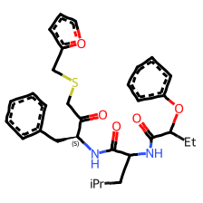 CCC(Oc1ccccc1)C(=O)NC(CC(C)C)C(=O)N[C@@H](Cc1ccccc1)C(=O)CSCc1ccco1